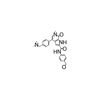 CN(C)Cc1ccc(-c2cn(C)c(=O)c3[nH]c(C(=O)Nc4ccc(C=O)cc4)cc23)cc1